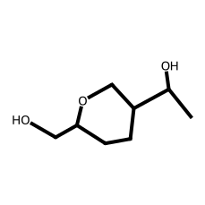 CC(O)C1CCC(CO)OC1